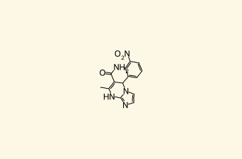 CC1=C(C(N)=O)C(c2cccc([N+](=O)[O-])c2)n2ccnc2N1